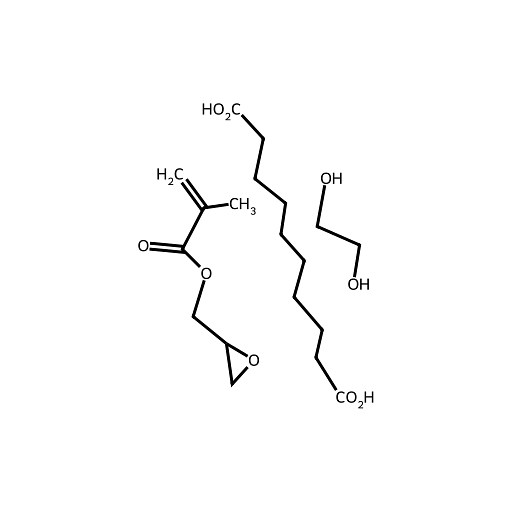 C=C(C)C(=O)OCC1CO1.O=C(O)CCCCCCCCC(=O)O.OCCO